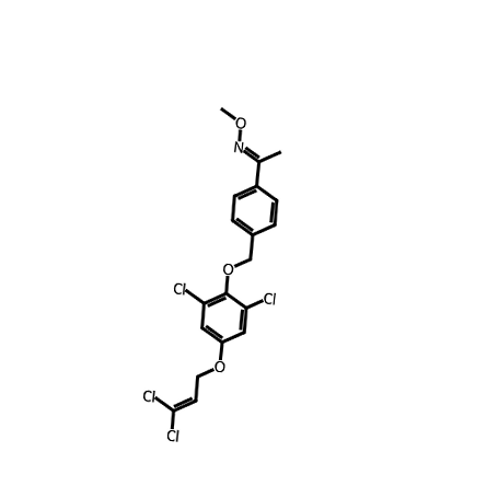 CON=C(C)c1ccc(COc2c(Cl)cc(OCC=C(Cl)Cl)cc2Cl)cc1